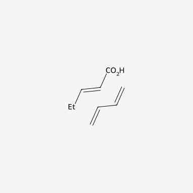 C=CC=C.CCC=CC(=O)O